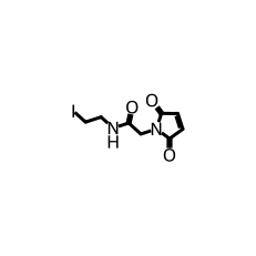 O=C(CN1C(=O)C=CC1=O)NCCI